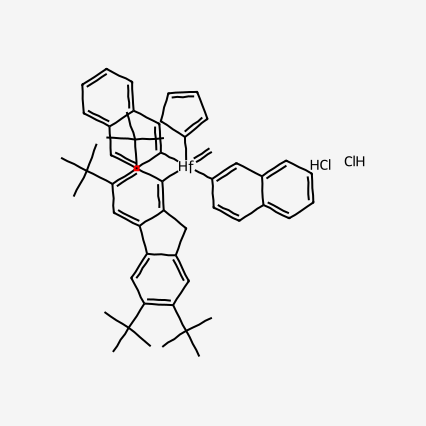 Cl.Cl.[CH2]=[Hf]([C]1=CC=CC1)([c]1ccc2ccccc2c1)([c]1ccc2ccccc2c1)[c]1c2c(cc(C(C)(C)C)c1C(C)(C)C)-c1cc(C(C)(C)C)c(C(C)(C)C)cc1C2